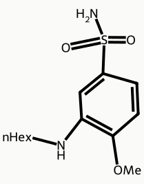 CCCCCCNc1cc(S(N)(=O)=O)ccc1OC